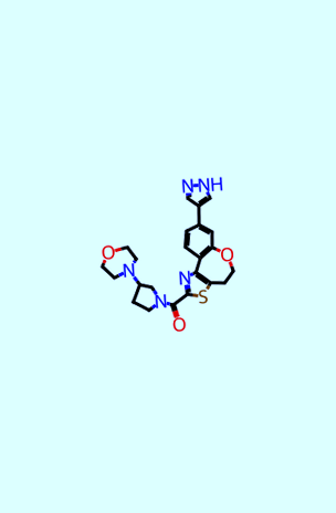 O=C(c1nc2c(s1)CCOc1cc(-c3cn[nH]c3)ccc1-2)N1CCC(N2CCOCC2)C1